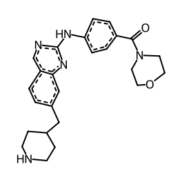 O=C(c1ccc(Nc2ncc3ccc(CC4CCNCC4)cc3n2)cc1)N1CCOCC1